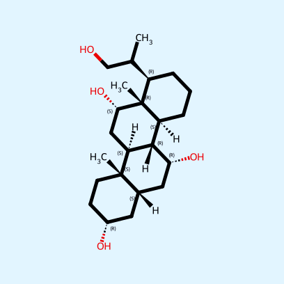 CC(CO)[C@H]1CCC[C@H]2[C@@H]3[C@H](O)C[C@@H]4C[C@H](O)CC[C@]4(C)[C@H]3C[C@H](O)[C@]12C